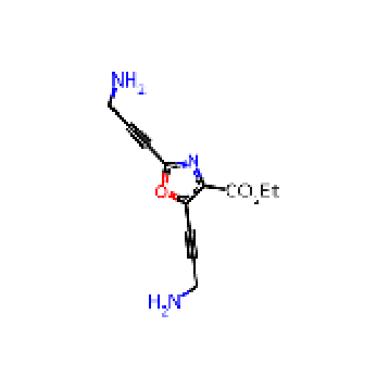 CCOC(=O)c1nc(C#CCN)oc1C#CCN